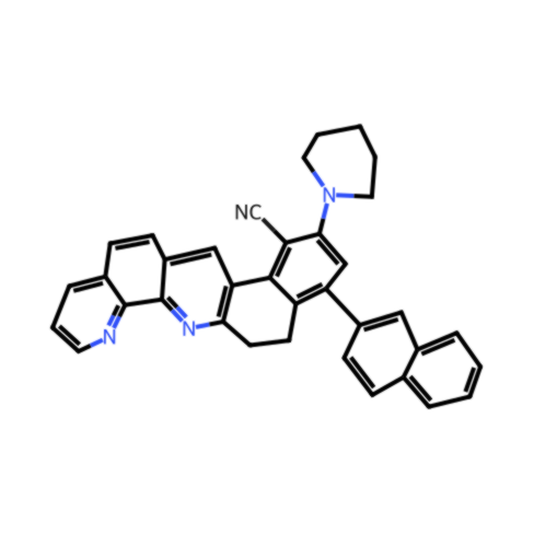 N#Cc1c(N2CCCCC2)cc(-c2ccc3ccccc3c2)c2c1-c1cc3ccc4cccnc4c3nc1CC2